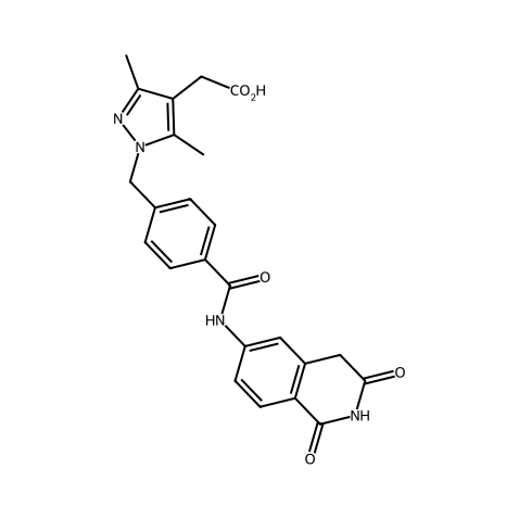 Cc1nn(Cc2ccc(C(=O)Nc3ccc4c(c3)CC(=O)NC4=O)cc2)c(C)c1CC(=O)O